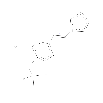 COc1cc(/C=C/n2cccn2)ccc1O[Si](C)(C)C(C)(C)C